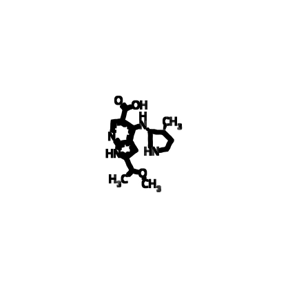 COC(C)c1cc2c(N[C@H]3CNCC[C@H]3C)c(C(=O)O)cnc2[nH]1